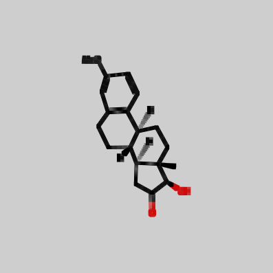 COc1ccc2c(c1)CC[C@@H]1[C@@H]2CC[C@]2(C)[C@@H](O)C(=O)C[C@@H]12